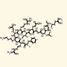 CC[C@H](C)[C@H](NC(=O)[C@H](CCCNC(=N)N)NC(=O)[C@H](CCC(=O)O)NC(=O)[C@H](CCCCN)NC(=O)[C@H](CCCNC(=N)N)NC(=O)[C@@H](C)Cc1ccccc1)C(=O)N[C@@H](CCC(=O)O)C(=O)NCC(=O)N[C@@H](CC(C)C)C(=O)N[C@@H](CCCCC(=N)N)C(=O)NC